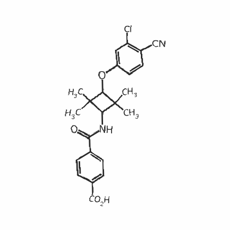 CC1(C)C(NC(=O)c2ccc(C(=O)O)cc2)C(C)(C)C1Oc1ccc(C#N)c(Cl)c1